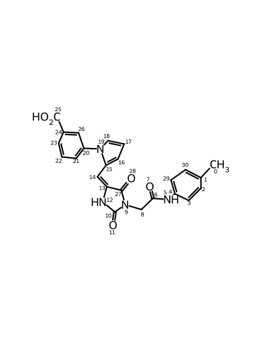 Cc1ccc(NC(=O)CN2C(=O)NC(=Cc3cccn3-c3cccc(C(=O)O)c3)C2=O)cc1